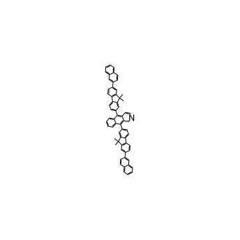 CC1(C)c2cc(-c3ccc4ccccc4c3)ccc2-c2ccc(-c3c4ccccc4c(-c4ccc5c(c4)C(C)(C)c4cc(-c6ccc7ccccc7c6)ccc4-5)c4cnccc34)cc21